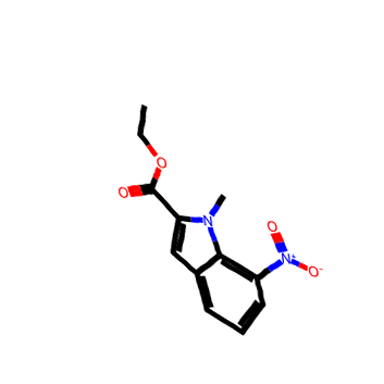 CCOC(=O)c1cc2cccc([N+](=O)[O-])c2n1C